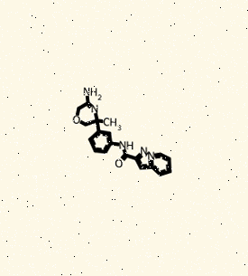 CC1(c2cccc(NC(=O)c3cc4ccccn4n3)c2)COCC(N)=N1